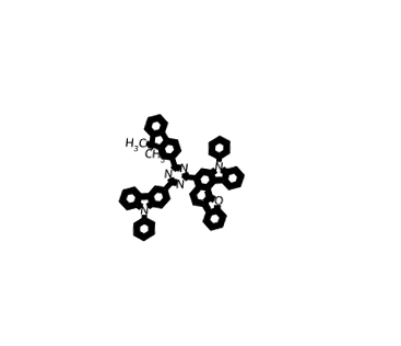 CC1(C)c2ccccc2-c2ccc(-c3nc(-c4ccc5c(c4)c4ccccc4n5-c4ccccc4)nc(-c4cc5c(c6ccccc6n5-c5ccccc5)c5c4ccc4c6ccccc6oc45)n3)cc21